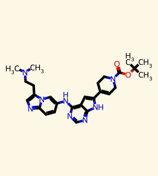 CN(C)CCc1cnc2ccc(Nc3ncnc4[nH]c(C5=CCN(C(=O)OC(C)(C)C)CC5)cc34)cn12